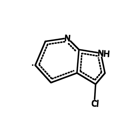 Clc1c[nH]c2nc[c]cc12